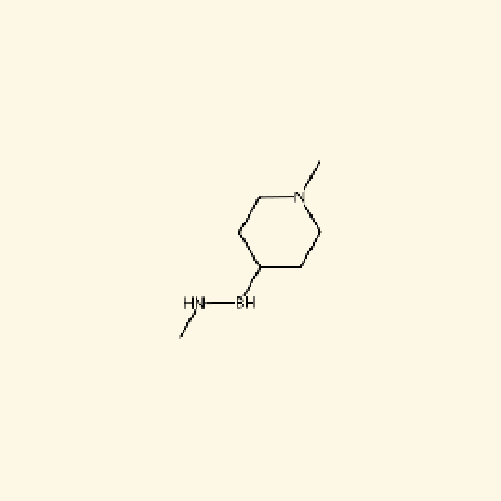 CNBC1CCN(C)CC1